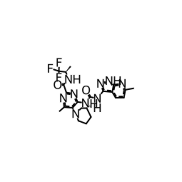 Cc1ccc2c(NC(=O)N3c4nc(C(=O)N[C@H](C)C(F)(F)F)nc(C)c4N4CCC[C@H]3C4)n[nH]c2n1